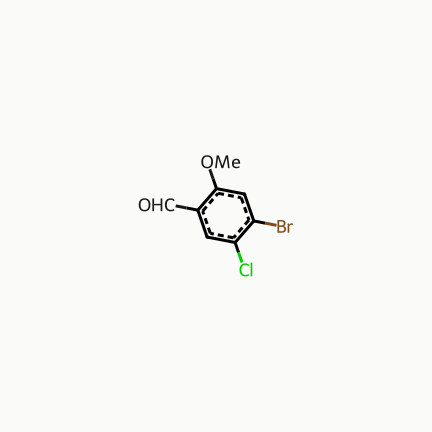 COc1cc(Br)c(Cl)cc1C=O